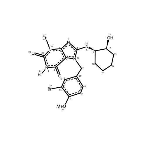 CCn1c(=O)c2c(nc(N[C@@H]3CCCC[C@@H]3O)n2Cc2ccc(OC)c(Br)c2)n(CC)c1=O